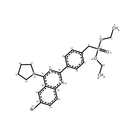 CCOP(=O)(Cc1ccc(-c2nc(N3CCCC3)c3cc(Br)ccc3n2)cc1)OCC